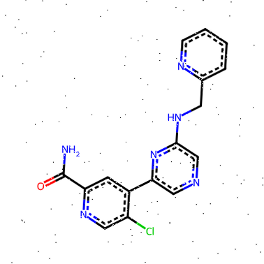 NC(=O)c1cc(-c2cncc(NCc3ccccn3)n2)c(Cl)cn1